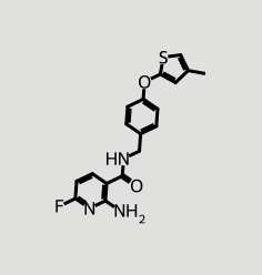 Cc1csc(Oc2ccc(CNC(=O)c3ccc(F)nc3N)cc2)c1